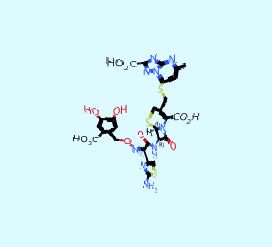 Cc1cc(SCC2=C(C(=O)O)N3C(=O)[C@@H](NC(=O)/C(=N\OCc4cc(O)c(O)cc4C(=O)O)c4csc(N)n4)[C@H]3SC2)n2nc(C(=O)O)nc2n1